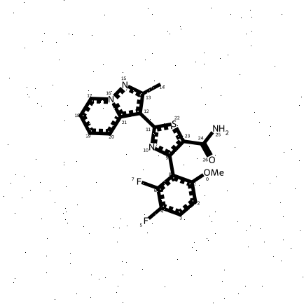 COc1ccc(F)c(F)c1-c1nc(-c2c(C)nn3ccccc23)sc1C(N)=O